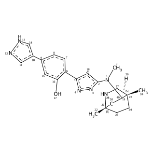 CN(c1nnc(-c2ccc(-c3cn[nH]c3)cc2O)s1)[C@@H]1C[C@]2(C)CC[C@@]1(C)CN2